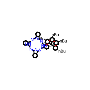 CCCCc1cc[c]([Zn]([c]2ccc(CCCC)cc2)([c]2ccc(CCCC)cc2)([c]2ccc(CCCC)cc2)[c]2ccc3c4nc5nc(nc6[nH]c(nc7nc(nc([nH]4)c3c2)-c2ccccc2-7)c2ccccc62)-c2ccccc2-5)cc1